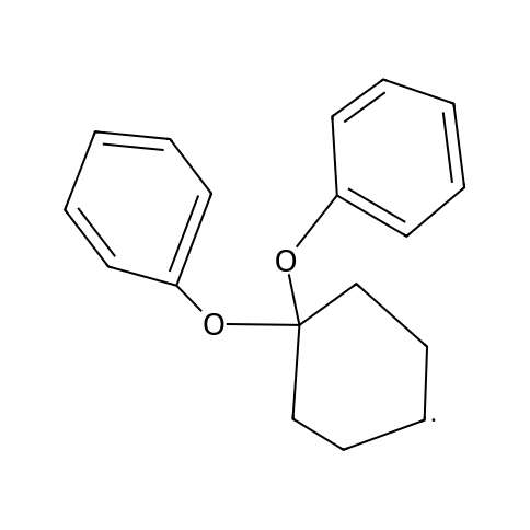 [CH]1CCC(Oc2ccccc2)(Oc2ccccc2)CC1